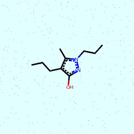 CCCc1c(O)nn(CCC)c1C